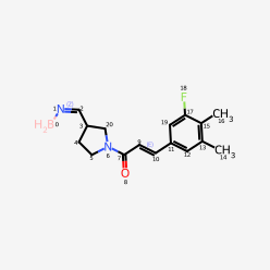 B/N=C\C1CCN(C(=O)/C=C/c2cc(C)c(C)c(F)c2)C1